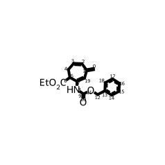 C=C1C=CCC(C(=O)OCC)C(NC(=O)OCc2ccccc2)=C1